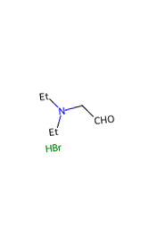 Br.CCN(CC)CC=O